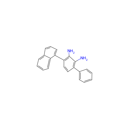 Nc1c(-c2ccccc2)ccc(-c2cccc3ccccc23)c1N